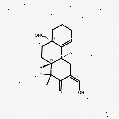 CC1(C)C(=O)/C(=C\O)C[C@]2(C)C3=CCCC[C@]3(C=O)CC[C@@H]12